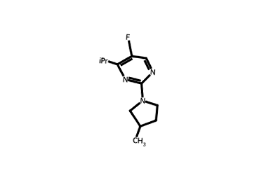 CC1CCN(c2ncc(F)c(C(C)C)n2)C1